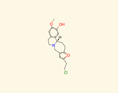 COc1cc2c(cc1O)[C@@H]1CCc3oc(CCCl)cc3CN1CC2